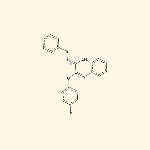 CC(=C\Sc1ccccc1)/C(=N\c1ccccc1)Oc1ccc(F)cc1